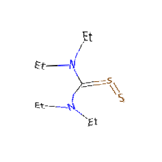 CCN(CC)C(=S=S)N(CC)CC